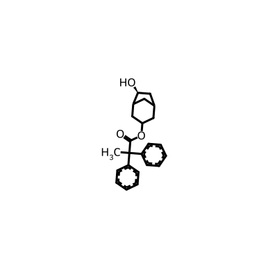 CC(C(=O)OC1CC2CC(C1)[C@@H](O)C2)(c1ccccc1)c1ccccc1